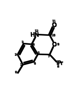 Cc1ccc2c(c1)C(C(C)C)OC(=O)N2